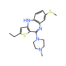 CCc1cc2c(s1)C(N1CCN(C)CC1)=Nc1cc(SC)ccc1N2